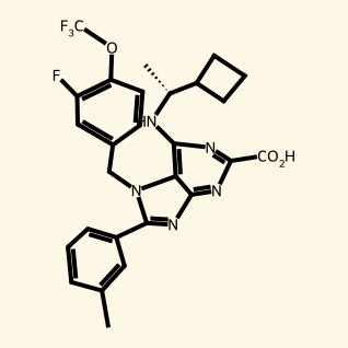 Cc1cccc(-c2nc3nc(C(=O)O)nc(N[C@H](C)C4CCC4)c3n2Cc2ccc(OC(F)(F)F)c(F)c2)c1